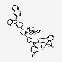 CC(C)=CC1(C)c2cc(-c3ccc4c(c3)c3ccccc3n4-c3ccc4ccccc4c3)ccc2-c2ccc(N(c3ccc(F)cc3)c3ccc4c(c3)C(C)(C)c3ccccc3-4)cc21